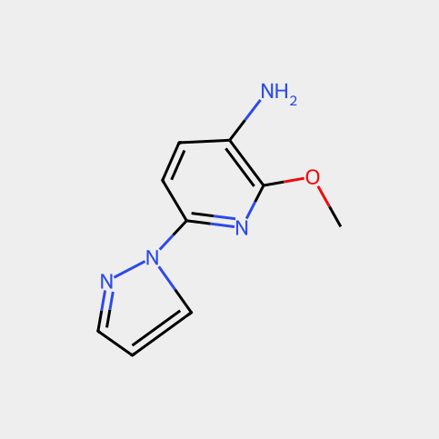 COc1nc(-n2cccn2)ccc1N